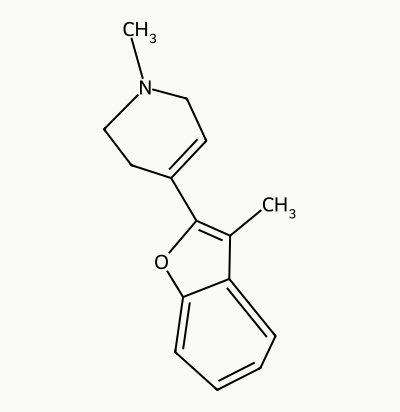 Cc1c(C2=CCN(C)CC2)oc2ccccc12